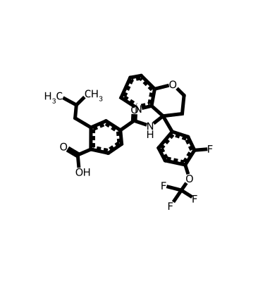 CC(C)Cc1cc(C(=O)NC2(c3ccc(OC(F)(F)F)c(F)c3)CCOc3cccnc32)ccc1C(=O)O